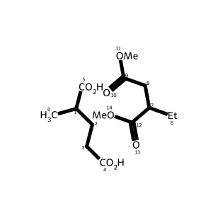 CC(CCC(=O)O)C(=O)O.CCC(CC(=O)OC)C(=O)OC